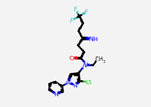 CCN(C(=O)CCC(=N)CCC(F)(F)F)c1cn(-c2cccnc2)nc1Cl